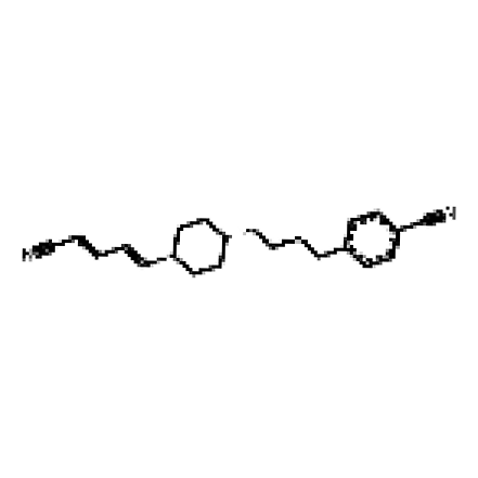 N#C/C=C/C=C/[C@H]1CC[C@H](CCCCc2ccc(C#N)cc2)CC1